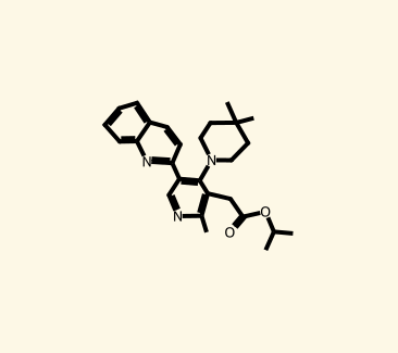 Cc1ncc(-c2ccc3ccccc3n2)c(N2CCC(C)(C)CC2)c1CC(=O)OC(C)C